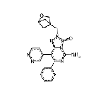 Nc1nc(-c2ccccc2)c(-c2ccnnc2)c2nn(CC34COC(C3)C4)c(=O)n12